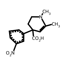 CC1=CC(C(=O)O)(c2cccc([N+](=O)[O-])c2)CCN1C